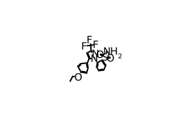 CCOc1ccc(-c2cc(C(F)(F)F)nn2-c2ccccc2S(N)(=O)=O)cc1